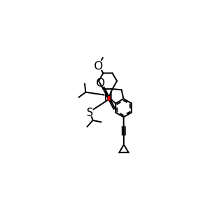 COC1CCC2(CC1)Cc1ccc(C#CC3CC3)cc1C21N=C(SC(C)C)N(C(C)C)C1=O